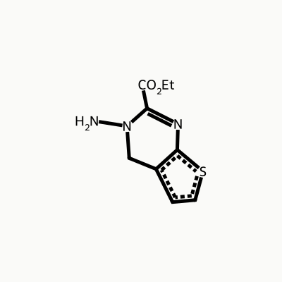 CCOC(=O)C1=Nc2sccc2CN1N